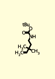 C=CC(C)(C)CCNC(=O)OC(C)(C)C